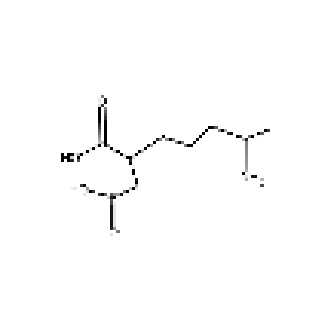 CC(N)CCCC(C[PH](=O)O)C(=O)O